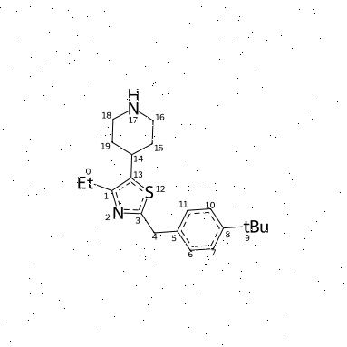 CCc1nc(Cc2ccc(C(C)(C)C)cc2)sc1C1CCNCC1